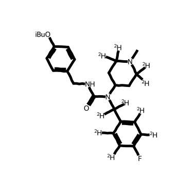 [2H]c1c([2H])c(C([2H])([2H])N(C(=O)NCc2ccc(OCC(C)C)cc2)C2CC([2H])([2H])N(C)C([2H])([2H])C2)c([2H])c([2H])c1F